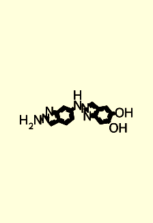 Nn1cc2ccc(Nn3cc4cc(O)c(O)cc4n3)cc2n1